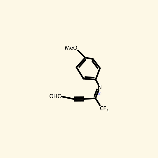 COc1ccc(/N=C(\C#CC=O)C(F)(F)F)cc1